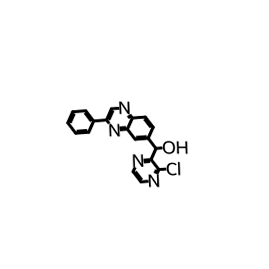 OC(c1ccc2ncc(-c3ccccc3)nc2c1)c1nccnc1Cl